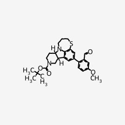 COc1ccc(-c2cc3c4c(c2)[C@@H]2CN(C(=O)OC(C)(C)C)CC[C@@H]2N4CCCS3)c(C=O)c1